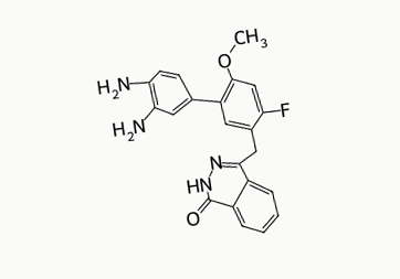 COc1cc(F)c(Cc2n[nH]c(=O)c3ccccc23)cc1-c1ccc(N)c(N)c1